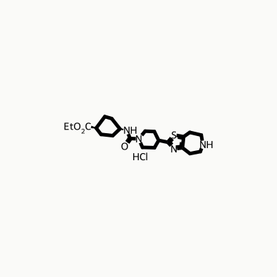 CCOC(=O)[C@H]1CC[C@H](NC(=O)N2CCC(c3nc4c(s3)CCNCC4)CC2)CC1.Cl